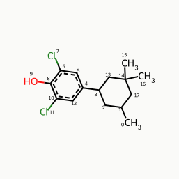 CC1CC(c2cc(Cl)c(O)c(Cl)c2)CC(C)(C)C1